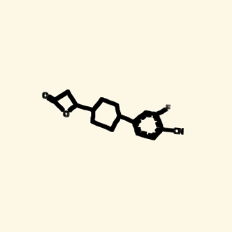 N#Cc1ccc(C2CCC(C3CC(=O)O3)CC2)cc1F